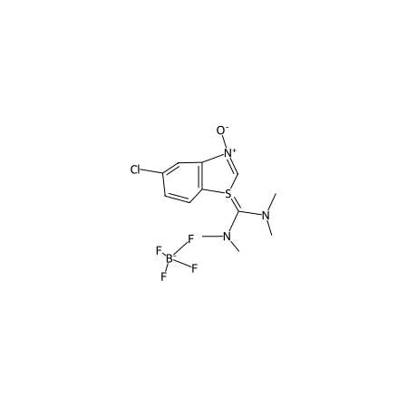 CN(C)C(N(C)C)=S1C=[N+]([O-])c2cc(Cl)ccc21.F[B-](F)(F)F